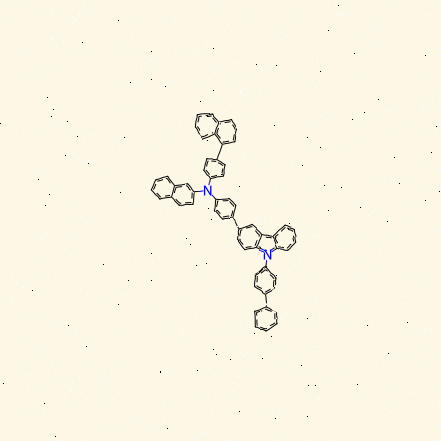 c1ccc(-c2ccc(-n3c4ccccc4c4cc(-c5ccc(N(c6ccc(-c7cccc8ccccc78)cc6)c6ccc7ccccc7c6)cc5)ccc43)cc2)cc1